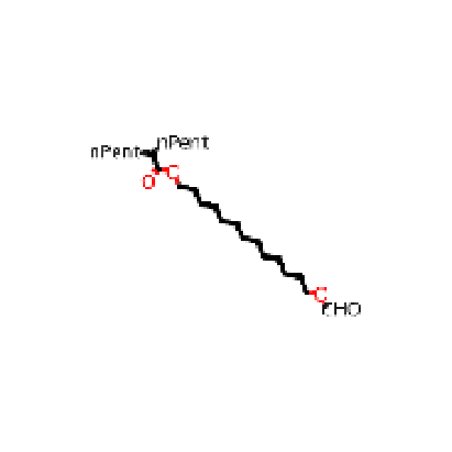 CCCCCC(CCCCC)C(=O)OCCCCCCCCCCCCCOC=O